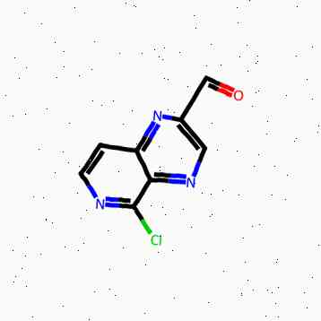 O=Cc1cnc2c(Cl)nccc2n1